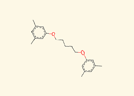 Cc1cc(C)cc(OCCCCCOc2cc(C)cc(C)c2)c1